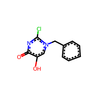 O=c1nc(Cl)n(Cc2ccccc2)cc1O